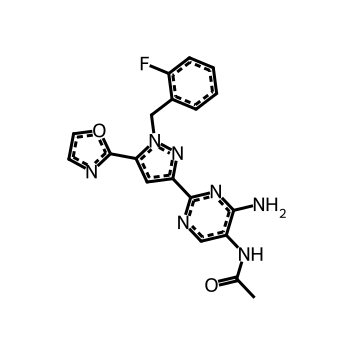 CC(=O)Nc1cnc(-c2cc(-c3ncco3)n(Cc3ccccc3F)n2)nc1N